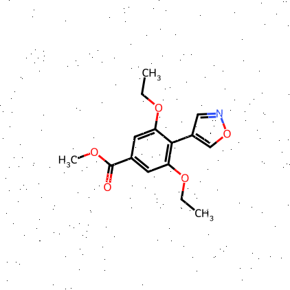 CCOc1cc(C(=O)OC)cc(OCC)c1-c1cnoc1